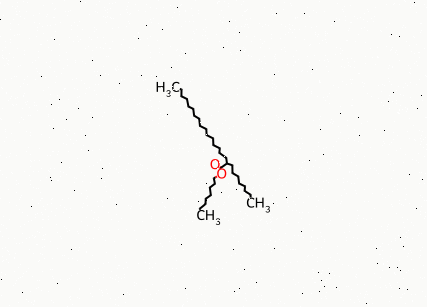 CCCCCCCCCCCCCCCCC(CCCCCCCC)C(=O)OCCCCCCCC